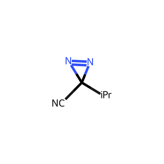 CC(C)C1(C#N)N=N1